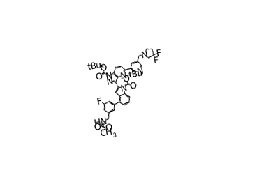 CC(C)(C)OC(=O)n1nc(-c2cc3c(-c4cc(F)cc(CNS(C)(=O)=O)c4)cccc3n2C(=O)OC(C)(C)C)c2nc(-c3cncc(CN4CCC(F)(F)C4)c3)ccc21